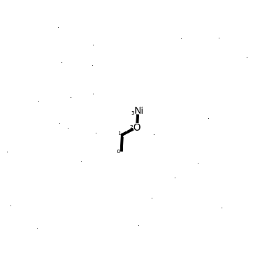 CC[O][Ni]